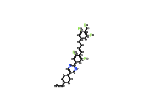 CCCCCC1CCC(c2cnc(-c3cc(F)c(/C=C/CCc4cc(F)c(CF)c(F)c4)c(F)c3)nc2)CC1